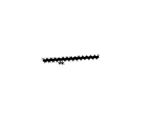 CCCCCCCCCCCC=CCCCCCCC(CCCCCCCCC)N(C)C